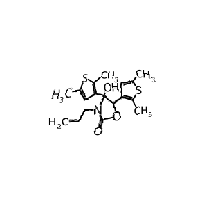 C=CCN1C(=O)OC(c2cc(C)sc2C)C1(O)c1cc(C)sc1C